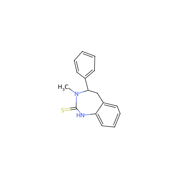 CN1C(=S)Nc2ccccc2CC1c1ccccc1